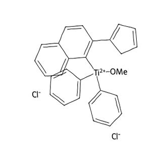 C[O][Ti+2]([c]1ccccc1)([c]1ccccc1)[c]1c(C2=CC=CC2)ccc2ccccc12.[Cl-].[Cl-]